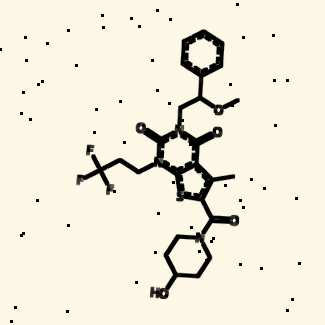 COC(Cn1c(=O)c2c(C)c(C(=O)N3CCC(O)CC3)sc2n(CCC(F)(F)F)c1=O)c1ccccc1